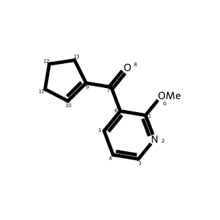 COc1ncccc1C(=O)C1=CCCC1